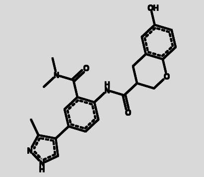 Cc1n[nH]cc1-c1ccc(NC(=O)C2COc3ccc(O)cc3C2)c(C(=O)N(C)C)c1